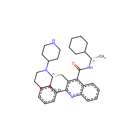 CCOC(=O)C1CCCN(C2CCNCC2)[C@@H]1Cc1c(-c2ccccc2)nc2ccccc2c1C(=O)N[C@@H](C)C1CCCCC1